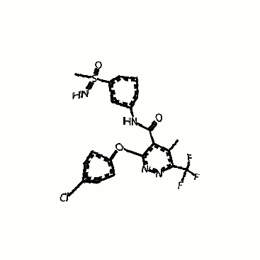 Cc1c(C(F)(F)F)nnc(Oc2ccc(Cl)cc2)c1C(=O)Nc1cccc(S(C)(=N)=O)c1